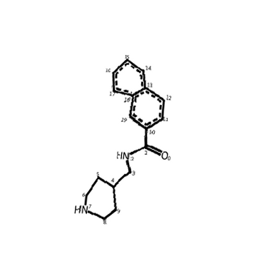 O=C(NCC1CCNCC1)c1ccc2ccccc2c1